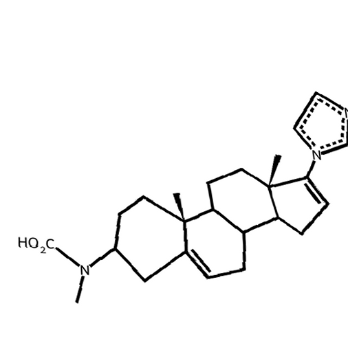 CN(C(=O)O)C1CC[C@@]2(C)C(=CCC3C2CC[C@]2(C)C(n4ccnc4)=CCC32)C1